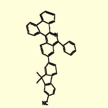 CC1(C)c2cc(C#N)ccc2-c2ccc(-c3ccc4c(c3)c(-c3ccccc3)nc3c5ccccc5c5ccccc5c43)cc21